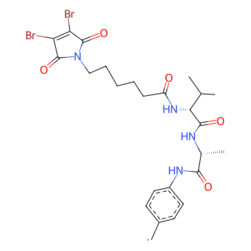 [CH2]c1ccc(NC(=O)[C@@H](C)NC(=O)[C@H](NC(=O)CCCCCN2C(=O)C(Br)=C(Br)C2=O)C(C)C)cc1